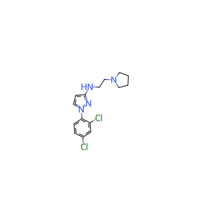 Clc1ccc(-n2ccc(NCCN3CCCC3)n2)c(Cl)c1